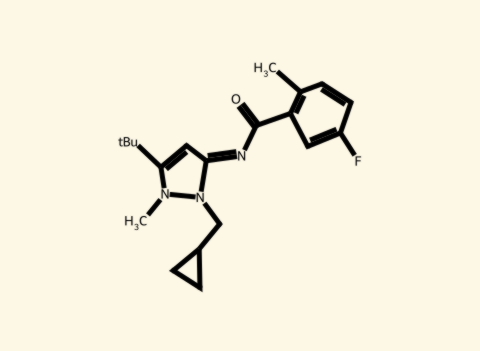 Cc1ccc(F)cc1C(=O)/N=c1\cc(C(C)(C)C)n(C)n1CC1CC1